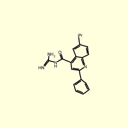 CC(C)c1ccc2nc(-c3ccccc3)cc(C(=O)NC(=N)N)c2c1